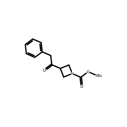 CC(C)(C)OC(=O)N1CC(C(=O)Cc2ccccc2)C1